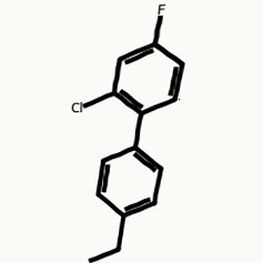 CCc1ccc(-c2[c]cc(F)cc2Cl)cc1